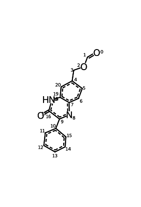 O=COCc1ccc2nc(-c3ccccc3)c(=O)[nH]c2c1